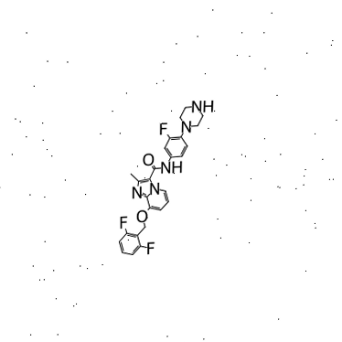 Cc1nc2c(OCc3c(F)cccc3F)cccn2c1C(=O)Nc1ccc(N2CCNCC2)c(F)c1